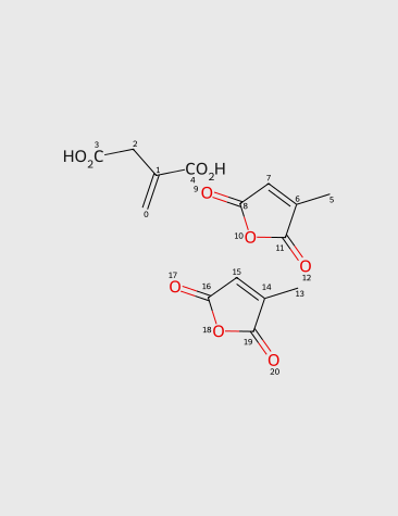 C=C(CC(=O)O)C(=O)O.CC1=CC(=O)OC1=O.CC1=CC(=O)OC1=O